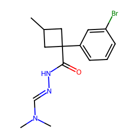 CC1CC(C(=O)N/N=C/N(C)C)(c2cccc(Br)c2)C1